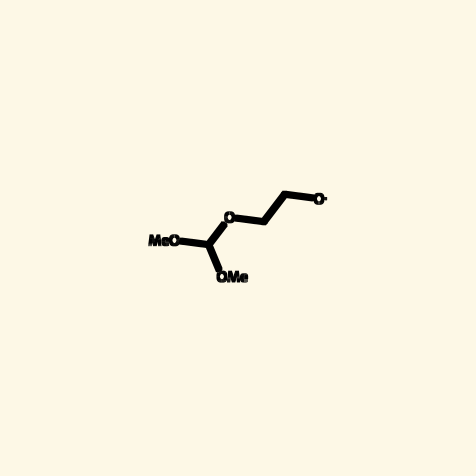 COC(OC)OCC[O]